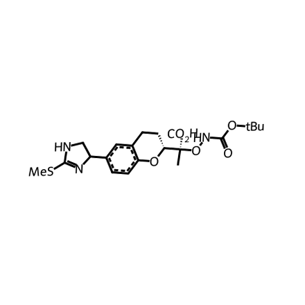 CSC1=NC(c2ccc3c(c2)CC[C@H]([C@](C)(ONC(=O)OC(C)(C)C)C(=O)O)O3)CN1